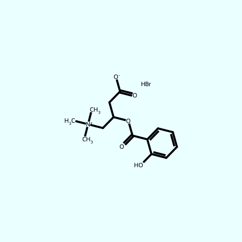 Br.C[N+](C)(C)CC(CC(=O)[O-])OC(=O)c1ccccc1O